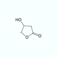 O=C1CC(O)[CH]O1